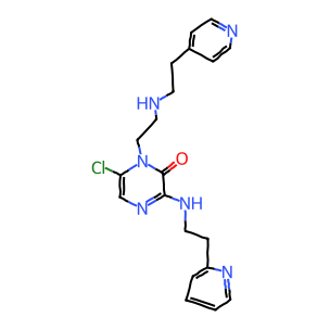 O=c1c(NCCc2ccccn2)ncc(Cl)n1CCNCCc1ccncc1